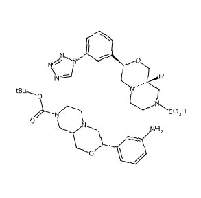 CC(C)(C)OC(=O)N1CCN2CC(c3cccc(N)c3)OCC2C1.O=C(O)N1CCN2C[C@@H](c3cccc(-n4cnnn4)c3)OC[C@@H]2C1